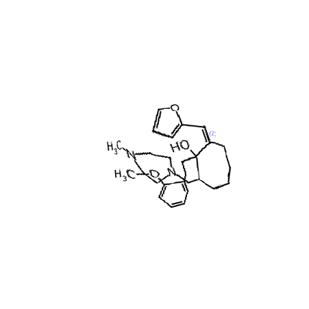 COc1ccccc1CC1(O)/C(=C\c2ccco2)CCCCC1CN1CCN(C)CC1